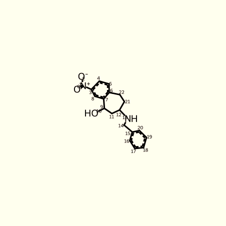 O=[N+]([O-])c1ccc2c(c1)C(O)CC(NCc1ccccc1)CC2